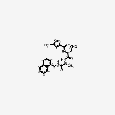 Cc1cc(C(=O)N[C@@H](CC=O)C(=O)N[C@@H](C)C(=O)NCc2cccc3ccccc23)no1